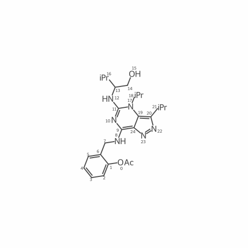 CC(=O)Oc1ccccc1CNc1nc(NC(CO)C(C)C)n(C(C)C)c2c(C(C)C)nnc1-2